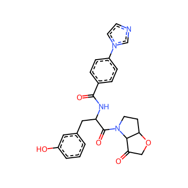 O=C(NC(Cc1cccc(O)c1)C(=O)N1CCC2OCC(=O)C21)c1ccc(-n2ccnc2)cc1